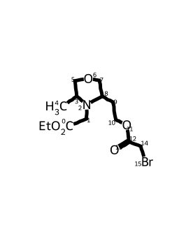 CCOC(=O)CN1C(C)COCC1CCOC(=O)CBr